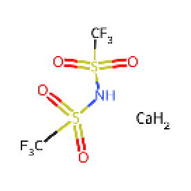 O=S(=O)(NS(=O)(=O)C(F)(F)F)C(F)(F)F.[CaH2]